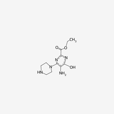 CCOC(=O)c1nc(O)c(N)c(N2CCNCC2)n1